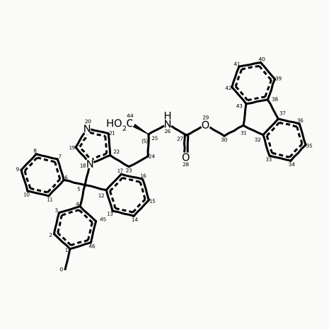 Cc1ccc(C(c2ccccc2)(c2ccccc2)n2cncc2CC[C@H](NC(=O)OCC2c3ccccc3-c3ccccc32)C(=O)O)cc1